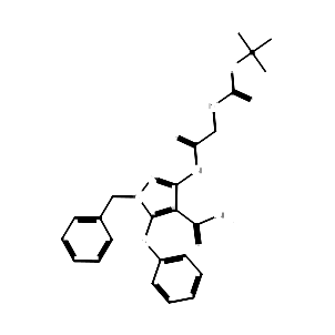 CC(C)(C)OC(=O)NCC(=O)Nc1nn(Cc2ccccc2)c(Nc2ccccc2)c1C(N)=O